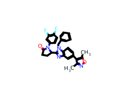 Cc1noc(C)c1-c1ccc2c(c1)nc(C1CCC(=O)N1c1ccc(F)c(F)c1)n2Cc1ccccc1